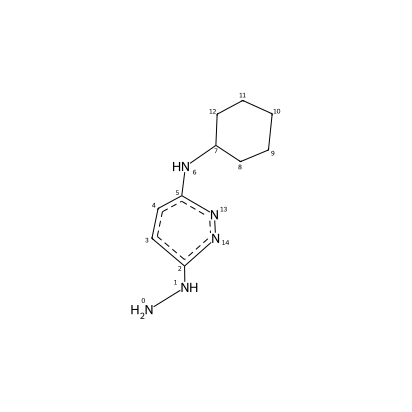 NNc1ccc(NC2CCCCC2)nn1